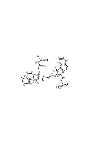 CC(N)NC(=O)CC[N+]1=C(/C=C/C=C/C=C2/N(CCC(=O)O)c3ccc4ccccc4c3C2(C)C)C(C)(C)c2c1ccc1ccccc21